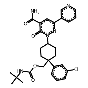 CC(C)(C)NC(=O)OCC1(c2cccc(Cl)c2)CCC(n2nc(-c3cccnc3)cc(C(N)=O)c2=O)CC1